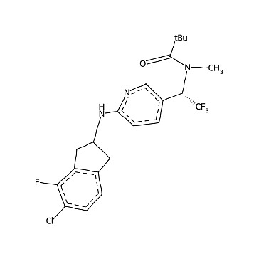 CN(C(=O)C(C)(C)C)[C@@H](c1ccc(NC2Cc3ccc(Cl)c(F)c3C2)nc1)C(F)(F)F